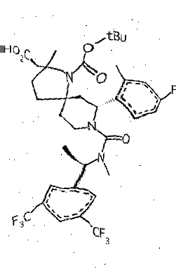 Cc1cc(F)ccc1[C@H]1C[C@@]2(CCN1C(=O)N(C)[C@H](C)c1cc(C(F)(F)F)cc(C(F)(F)F)c1)CC[C@@](C)(C(=O)O)N2C(=O)OC(C)(C)C